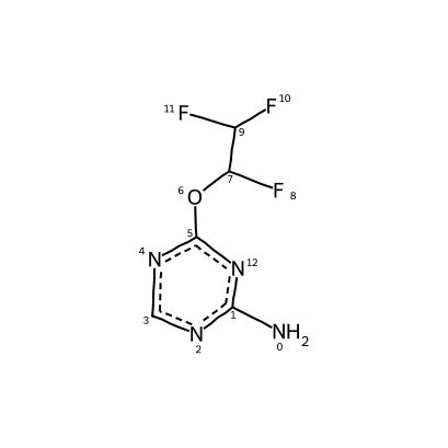 Nc1ncnc(OC(F)C(F)F)n1